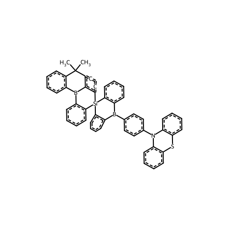 CC1(C)c2ccccc2B2c3ccccc3[Si]3(c4ccccc4B(c4ccc(N5c6ccccc6Sc6ccccc65)cc4)c4ccccc43)c3cccc1c32